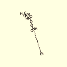 CCC=CCC=CCC=CCC=CCC=CCC=CCCC(=O)NCCOCCOCCNC(=O)c1c[n+]([O-])c(C)cn1